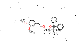 COc1ccc(CCOC2CCCCC2O[Si](c2ccccc2)(c2ccccc2)C(C)(C)C)cc1OC